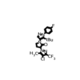 Cc1c(Cl)c(C(F)(F)F)nn1C1CCN(c2cnn(-c3ccc(F)cc3)c2C(C)(C)C)C1=O